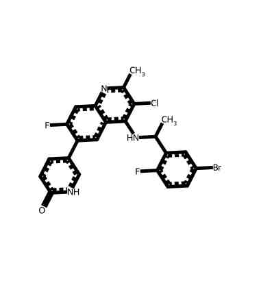 Cc1nc2cc(F)c(-c3ccc(=O)[nH]c3)cc2c(NC(C)c2cc(Br)ccc2F)c1Cl